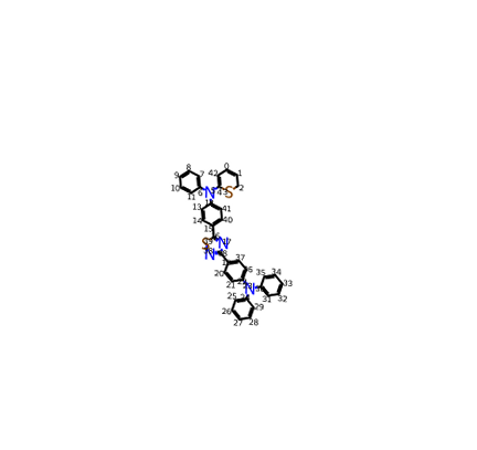 C1=CCSC(N(c2ccccc2)c2ccc(-c3nc(-c4ccc(N(c5ccccc5)c5ccccc5)cc4)ns3)cc2)=C1